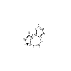 C1=NCc2ccccc2-n2ccnc21